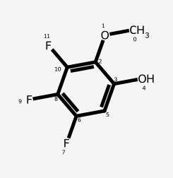 COc1c(O)cc(F)c(F)c1F